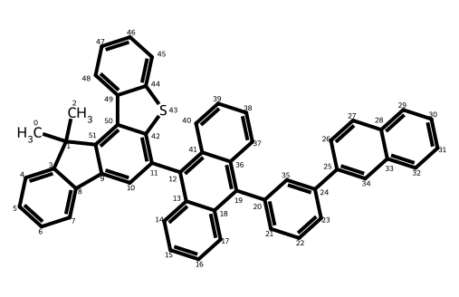 CC1(C)c2ccccc2-c2cc(-c3c4ccccc4c(-c4cccc(-c5ccc6ccccc6c5)c4)c4ccccc34)c3sc4ccccc4c3c21